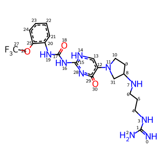 N=C(N)NCCCNC1CCN(c2c[nH]c(NC(=O)Nc3ccccc3OC(F)(F)F)nc2=O)C1